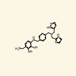 CCCc1c(CN)ccc(NCc2ccc(CN(Cc3ccn[nH]3)Cc3ncc[nH]3)cc2)c1CCC